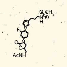 CC(=O)NCC1CN(c2ccc(-n3ccc(CCCNS(C)(=O)=O)c3)c(F)c2)C(=O)O1